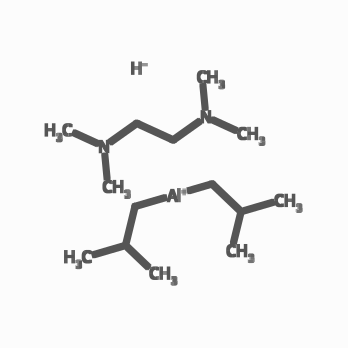 CC(C)[CH2][Al+][CH2]C(C)C.CN(C)CCN(C)C.[H-]